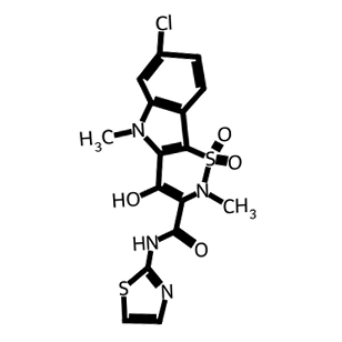 CN1C(C(=O)Nc2nccs2)=C(O)c2c(c3ccc(Cl)cc3n2C)S1(=O)=O